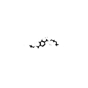 BC(C)(C)CC(C)(C)CNC(=O)c1ccc(C(=O)NCC(C)(C)N)c(O)c1O